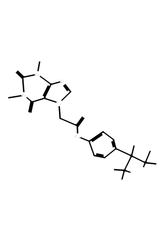 Cn1c(=O)c2c(ncn2CC(=O)Nc2ccc(C(F)(C(C)(F)F)C(F)(F)F)cc2)n(C)c1=O